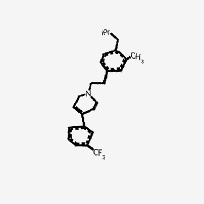 Cc1cc(CCN2CC=C(c3cccc(C(F)(F)F)c3)CC2)ccc1CC(C)C